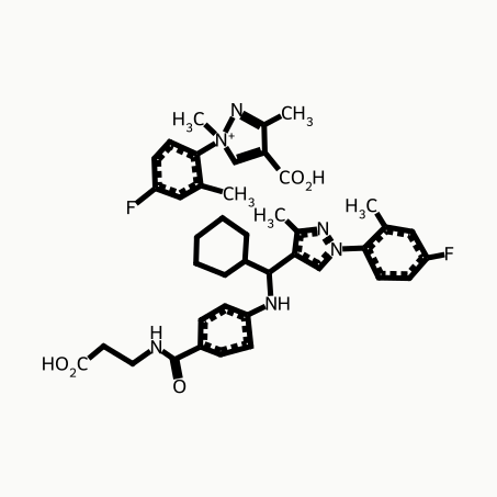 CC1=N[N+](C)(c2ccc(F)cc2C)C=C1C(=O)O.Cc1cc(F)ccc1-n1cc(C(Nc2ccc(C(=O)NCCC(=O)O)cc2)C2CCCCC2)c(C)n1